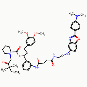 CCC(C)(C)C(=O)CN1CCCCC1C(=O)OC(CCc1ccc(OC)c(OC)c1)c1cccc(NC(=O)CCC(=O)NCCNc2ccc3oc(-c4ccc(N(C)C)cc4)nc3c2)c1